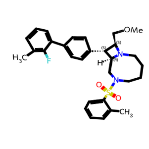 COC[C@@H]1[C@@H](c2ccc(-c3cccc(C)c3F)cc2)[C@@H]2CN(S(=O)(=O)c3ccccc3C)CCCCN12